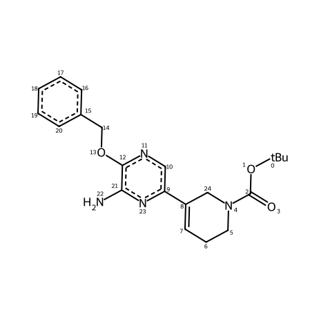 CC(C)(C)OC(=O)N1CCC=C(c2cnc(OCc3ccccc3)c(N)n2)C1